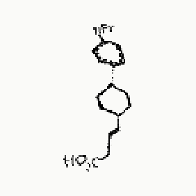 CCCc1ccc([C@H]2CC[C@H](C=CCC(=O)O)CC2)cc1